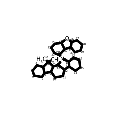 CC1(C)C2CCCCC2C2CCC3C4CCCCC4N(C4CCCC5OC6CCCCC6C54)C3C21